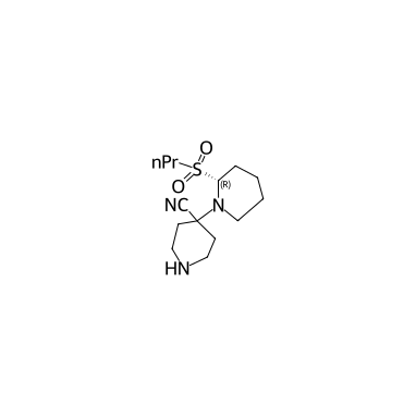 CCCS(=O)(=O)[C@@H]1CCCCN1C1(C#N)CCNCC1